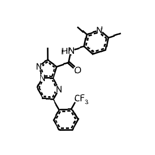 Cc1ccc(NC(=O)c2c(C)nn3ccc(-c4ccccc4C(F)(F)F)nc23)c(C)n1